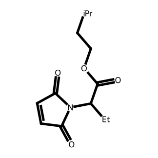 CCC(C(=O)OCCC(C)C)N1C(=O)C=CC1=O